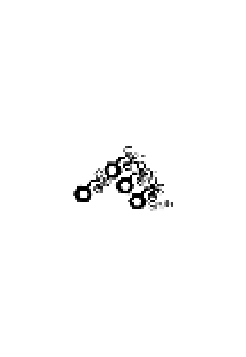 O=S(=O)([O-])Cc1ccccc1.O=S(=O)([O-])Cc1ccccc1.O=S(=O)([O-])Cc1ccccc1.O=S(=O)([O-])Cc1ccccc1.[Sn+4]